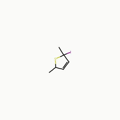 CC1C=CC(C)(I)S1